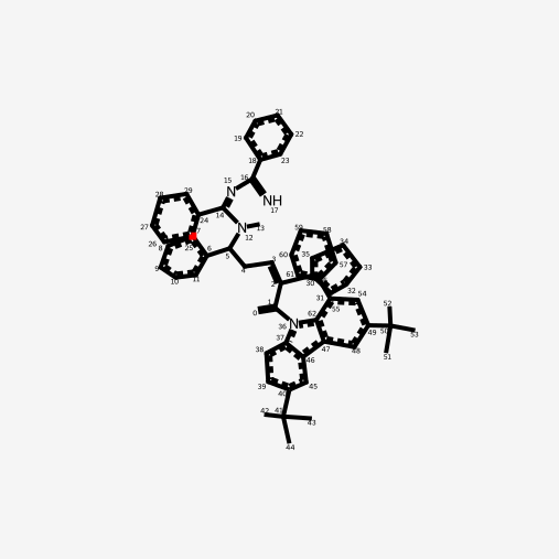 C=C(/C(=C\CC(c1ccccc1)N(C)/C(=N\C(=N)c1ccccc1)c1ccccc1)c1ccccc1)n1c2ccc(C(C)(C)C)cc2c2cc(C(C)(C)C)cc(-c3ccccc3)c21